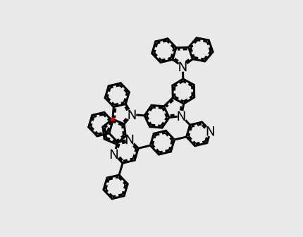 c1ccc(-c2cc(-c3ccc(-c4ccncc4-n4c5ccc(-n6c7ccccc7c7ccccc76)cc5c5cc(-n6c7ccccc7c7ccccc76)ccc54)cc3)nc(-c3ccccc3)n2)cc1